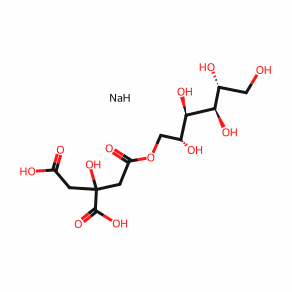 O=C(O)CC(O)(CC(=O)OC[C@@H](O)[C@@H](O)[C@H](O)[C@H](O)CO)C(=O)O.[NaH]